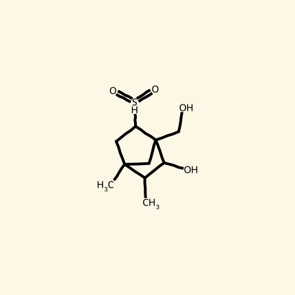 CC1C(O)C2(CO)CC1(C)CC2[SH](=O)=O